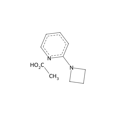 CC(=O)O.c1ccc(N2CCC2)nc1